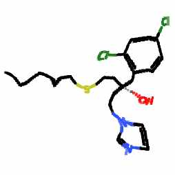 CCCCCSC[C@](O)(Cn1ccnc1)c1ccc(Cl)cc1Cl